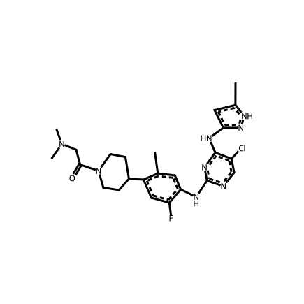 Cc1cc(Nc2nc(Nc3cc(C)c(C4CCN(C(=O)CN(C)C)CC4)cc3F)ncc2Cl)n[nH]1